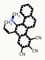 C=Nc1c(/C=C\C)c2cc(C#N)c(C#N)c(C#N)c2c2ccc3ccccc3c12